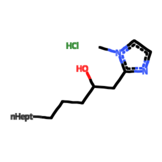 CCCCCCCCCCC(O)Cc1nccn1C.Cl